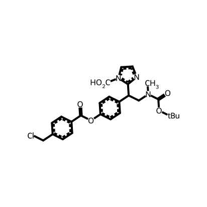 CN(CC(c1ccc(OC(=O)c2ccc(CCl)cc2)cc1)c1nccn1C(=O)O)C(=O)OC(C)(C)C